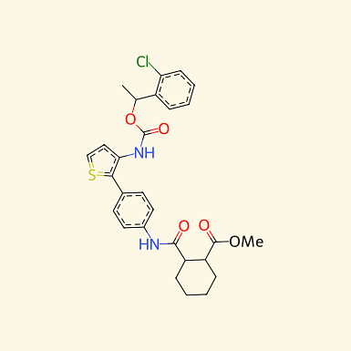 COC(=O)C1CCCCC1C(=O)Nc1ccc(-c2sccc2NC(=O)OC(C)c2ccccc2Cl)cc1